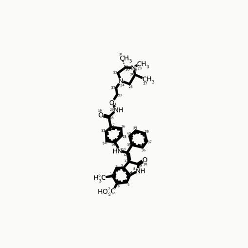 Cc1cc2c(cc1C(=O)O)NC(=O)C2=C(Nc1ccc(C(=O)NOCCN2CC(C)N(C)[C@@H](C)C2)cc1)c1ccccc1